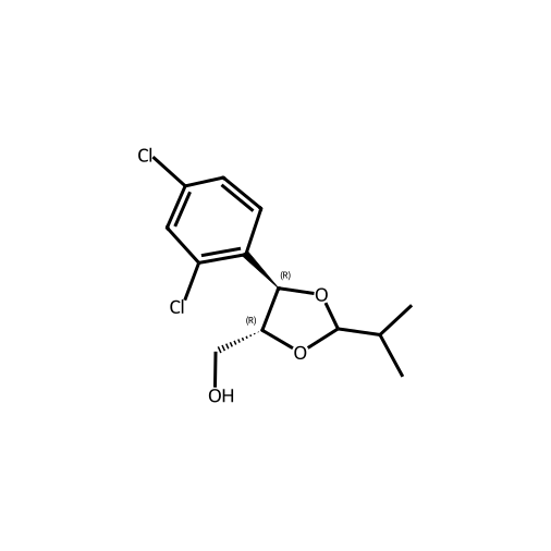 CC(C)C1O[C@H](c2ccc(Cl)cc2Cl)[C@@H](CO)O1